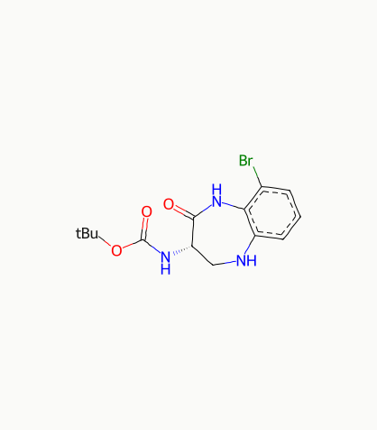 CC(C)(C)OC(=O)N[C@H]1CNc2cccc(Br)c2NC1=O